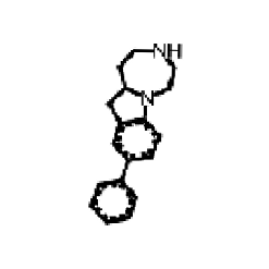 c1ccc(-c2ccc3c(c2)CC2CCNCCN32)cc1